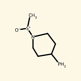 C[S+]([O-])N1CCC(P)CC1